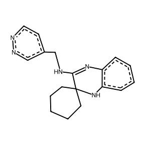 c1ccc2c(c1)N=C(NCc1ccnnc1)C1(CCCCC1)N2